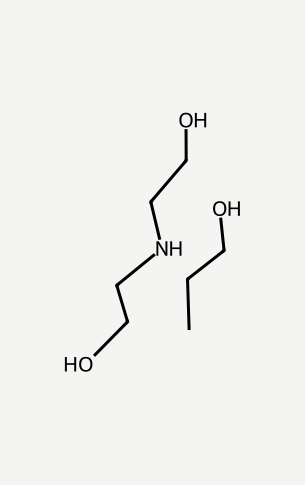 CCCO.OCCNCCO